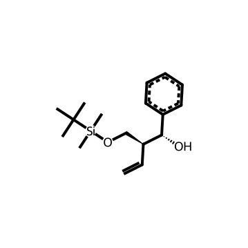 C=C[C@@H](CO[Si](C)(C)C(C)(C)C)[C@@H](O)c1ccccc1